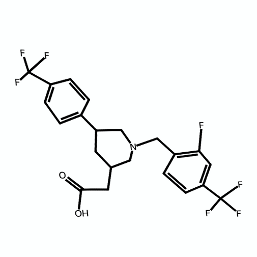 O=C(O)CC1CC(c2ccc(C(F)(F)F)cc2)CN(Cc2ccc(C(F)(F)F)cc2F)C1